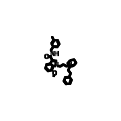 COc1cccc2c(C(=O)NCc3cccc(C)c3)cn(CCCN3C4CCC3C(CCc3ccccc3)C4)c12